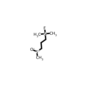 C[S+]([O-])CCC[Si](C)(C)F